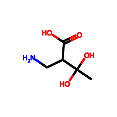 CC(O)(O)C(CN)C(=O)O